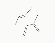 C=CC(=C)C.CC=CC